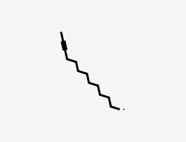 [CH2]CCCCCCCCCC#CC